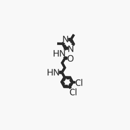 Cc1cnc(NC(=O)CCC(=N)c2ccc(Cl)c(Cl)c2)c(C)n1